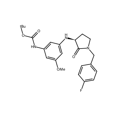 COc1cc(NC(=O)OC(C)(C)C)cc(N[C@H]2CCN(Cc3ccc(F)cc3)C2=O)c1